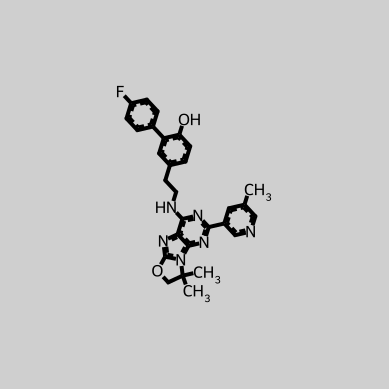 Cc1cncc(-c2nc(NCCc3ccc(O)c(-c4ccc(F)cc4)c3)c3nc4n(c3n2)C(C)(C)CO4)c1